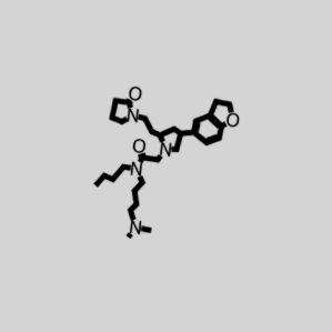 CCCCN(CCCCN(C)C)C(=O)CN1CC(c2ccc3c(c2)CCO3)CC1CCN1CCCC1=O